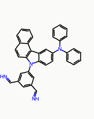 N=Cc1cc(C=N)cc(-n2c3ccc(N(c4ccccc4)c4ccccc4)cc3c3c4ccccc4ccc32)c1